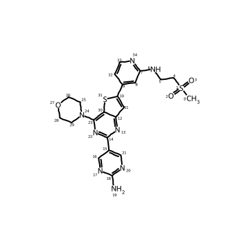 CS(=O)(=O)CCNc1cc(-c2cc3nc(-c4cnc(N)nc4)nc(N4CCOCC4)c3s2)ccn1